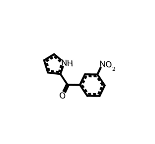 O=C(c1cccc([N+](=O)[O-])c1)c1ccc[nH]1